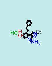 CCn1cc2c(n1)c(N)nc1cc(O)cc(CCc3ccccc3)c12.Cl